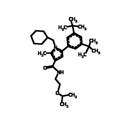 Cc1c(C(=O)NCCOC(C)C)cc(-c2cc(C(C)(C)C)cc(C(C)(C)C)c2)n1CC1CCCCC1